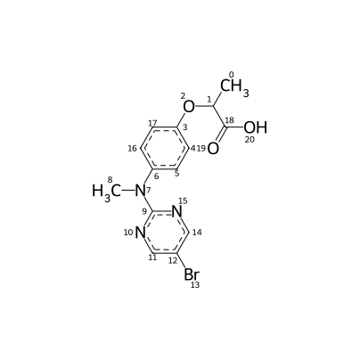 CC(Oc1ccc(N(C)c2ncc(Br)cn2)cc1)C(=O)O